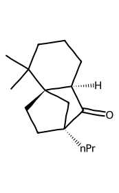 CCC[C@]12CC[C@]3(C1)[C@@H](CCCC3(C)C)C2=O